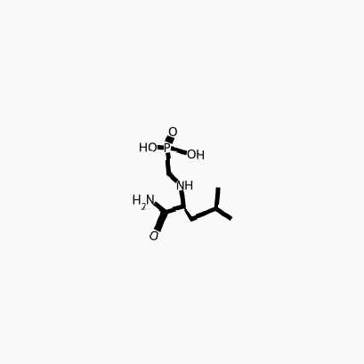 CC(C)C[C@H](NCP(=O)(O)O)C(N)=O